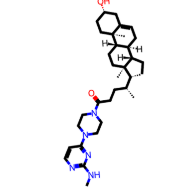 CNc1nccc(N2CCN(C(=O)CC[C@@H](C)[C@H]3CC[C@H]4[C@@H]5CC=C6C[C@@H](O)CC[C@]6(C)[C@H]5CC[C@]34C)CC2)n1